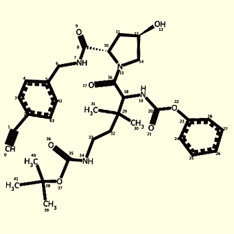 C#Cc1ccc(CNC(=O)[C@@H]2C[C@@H](O)CN2C(=O)C(NC(=O)Oc2ccccc2)C(C)(C)CCNC(=O)OC(C)(C)C)cc1